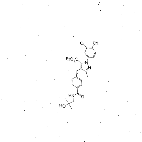 CCOC(=O)c1c(Cc2ccc(C(=O)NCC(C)(C)O)cc2)c(C)nn1-c1ccc(C#N)c(Cl)c1